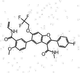 C=CNC(=O)c1cc(-c2cc3c(C(=O)NC)c(-c4ccc(F)cc4)oc3cc2OCC(F)(F)F)ccc1OC